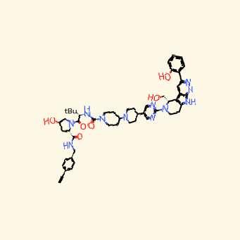 C#Cc1ccc(CNC(=O)[C@@H]2C[C@@H](O)CN2C(=O)[C@@H](NC(=O)N2CCC(N3CCC(c4cnc(N5CCc6[nH]c7nnc(-c8ccccc8O)cc7c6[C@H]5CO)nc4)CC3)CC2)C(C)(C)C)cc1